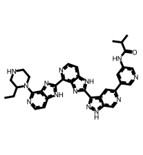 CCC1CNCCN1c1nccc2[nH]c(-c3nccc4[nH]c(-c5n[nH]c6cnc(-c7cncc(NC(=O)C(C)C)c7)cc56)nc34)nc12